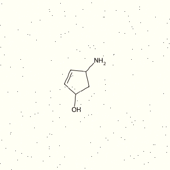 NC1C=CC(O)C1